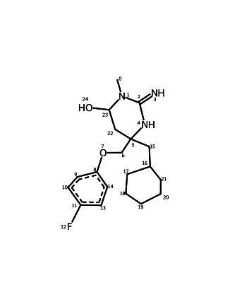 CN1C(=N)NC(COc2ccc(F)cc2)(CC2CCCCC2)CC1O